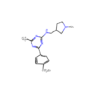 CCOC(=O)c1ccc(-c2nc(NCC3CCN(CC)C3)nc(C(Cl)(Cl)Cl)n2)cc1